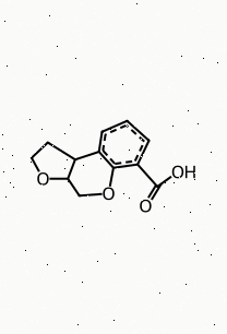 O=C(O)c1cccc2c1OCC1OCCC21